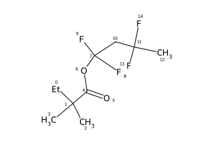 CCC(C)(C)C(=O)OC(F)(F)CC(C)(F)F